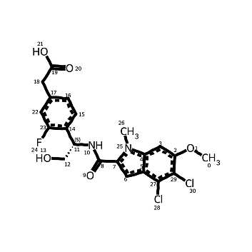 COc1cc2c(cc(C(=O)N[C@H](CO)c3ccc(CC(=O)O)cc3F)n2C)c(Cl)c1Cl